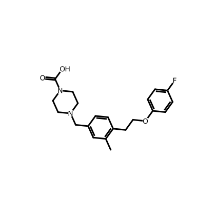 Cc1cc(CN2CCN(C(=O)O)CC2)ccc1CCOc1ccc(F)cc1